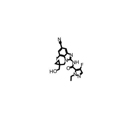 CCn1ncc(F)c1C(=O)Nc1nc2cc(C#N)cc(I)c2n1CC1(CO)CC1